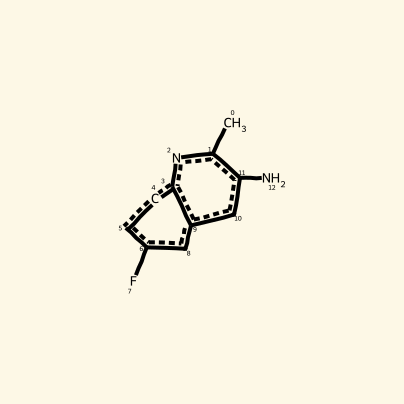 Cc1nc2ccc(F)cc2cc1N